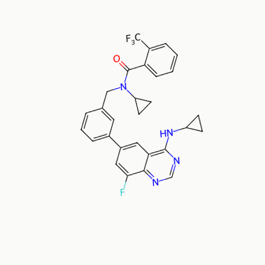 O=C(c1ccccc1C(F)(F)F)N(Cc1cccc(-c2cc(F)c3ncnc(NC4CC4)c3c2)c1)C1CC1